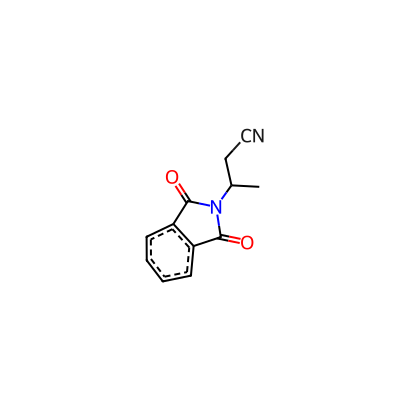 CC(CC#N)N1C(=O)c2ccccc2C1=O